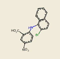 O=C(O)c1cc([N+](=O)[O-])ccc1Nc1c(Br)ccc2ccccc12